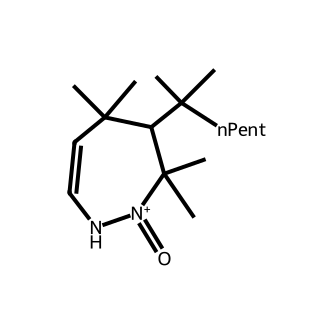 CCCCCC(C)(C)C1C(C)(C)C=CN[N+](=O)C1(C)C